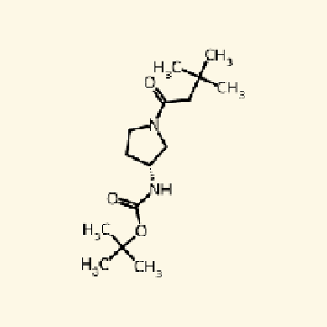 CC(C)(C)CC(=O)N1CC[C@@H](NC(=O)OC(C)(C)C)C1